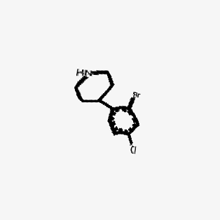 Clc1ccc(C2CCNCC2)c(Br)c1